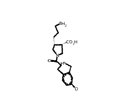 BCCC[C@H]1CN(C(=O)C2Cc3ccc(Cl)cc3CN2)C[C@H]1C(=O)O